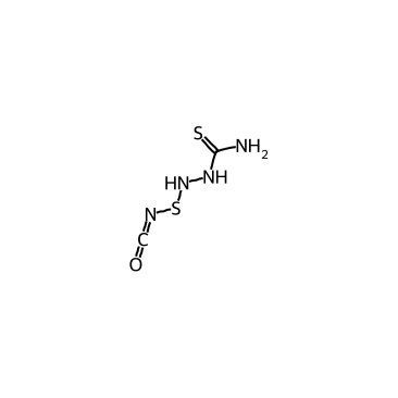 NC(=S)NNSN=C=O